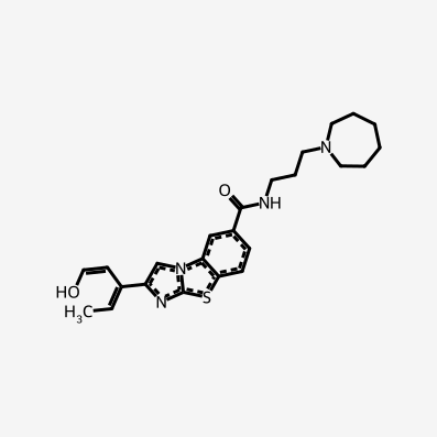 C/C=C(\C=C/O)c1cn2c(n1)sc1ccc(C(=O)NCCCN3CCCCCC3)cc12